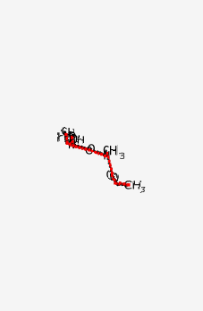 CCCCC/C=C\CCOC(=O)CCCCCCCCCN(CCC)CCCCCCCCCC(=O)OCCCCCCCCCCN(CC/C=C\CCCCC)CCP(=O)(O)O